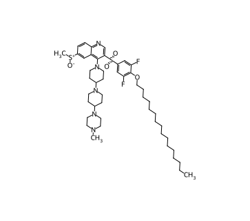 CCCCCCCCCCCCCCCCOc1c(F)cc(S(=O)(=O)c2cnc3ccc([S+](C)[O-])cc3c2N2CCC(N3CCC(N4CCN(C)CC4)CC3)CC2)cc1F